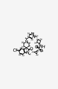 CN1C(=O)C2(CCN(Cc3cnn(C[C@H]4C[C@@H](NS(=O)(=O)C5CC5)C4)c3)CC2)c2cc(Cl)ccc21